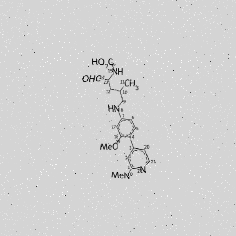 CNc1cc(-c2ccc(NCC(C)CC(C=O)NC(=O)O)cc2OC)ccn1